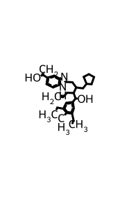 C=CCC(C(Cc1nc2cc(C(=C)O)ccc2[nH]1)CC1CCCC1)C(O)c1cc(CC)c(C)c(CC)c1